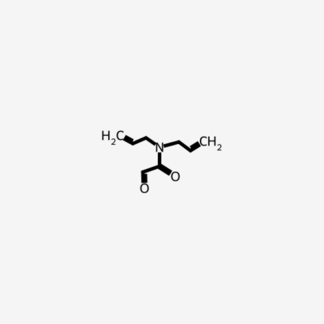 C=CCN(CC=C)C(=O)C=O